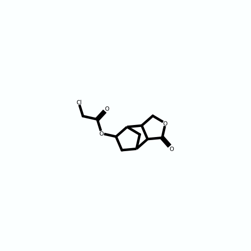 O=C(CCl)OC1CC2CC1C1COC(=O)C21